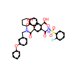 O=C(O)c1cc(C(=O)O)c(C(=O)N(Cc2cccc(Oc3ccccc3)c2)[C@H]2CCCc3ccccc32)cc1C(=O)NS(=O)(=O)c1ccccc1F